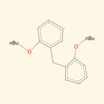 CCCCOc1cc[c]cc1Cc1c[c]ccc1OCCCC